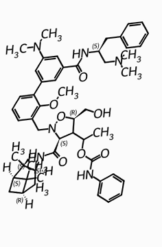 COc1c(CN2O[C@@H](CO)C(C(C)OC(=O)Nc3ccccc3)[C@H]2C(=O)N[C@H]2C[C@H]3C[C@@H]([C@@H]2C)C3(C)C)cccc1-c1cc(C(=O)N[C@@H](Cc2ccccc2)CN(C)C)cc(N(C)C)c1